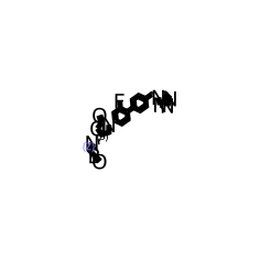 O=B/C=N\C[C@H]1CN(c2ccc(-c3ccc(Cn4cnnn4)cc3)c(F)c2)C(=O)O1